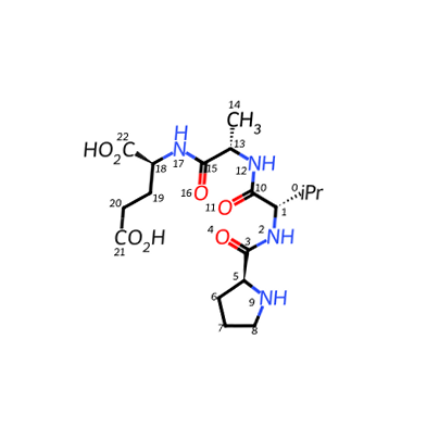 CC(C)[C@H](NC(=O)[C@@H]1CCCN1)C(=O)N[C@@H](C)C(=O)N[C@@H](CCC(=O)O)C(=O)O